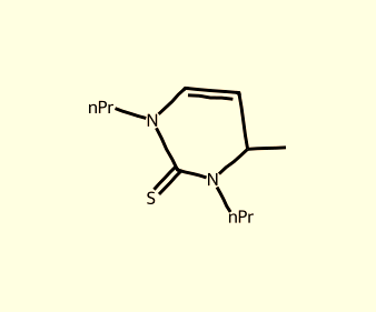 CCCN1C=CC(C)N(CCC)C1=S